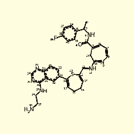 CC(NC(=O)C1=CC=CN=C(NCC2=CCCC=C(c3ccc4ncnc(NCCN)c4c3)S2)C1)c1ccc(F)cc1